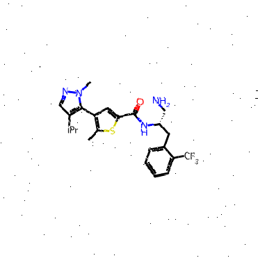 Cc1sc(C(=O)N[C@H](CN)Cc2ccccc2C(F)(F)F)cc1-c1c(C(C)C)cnn1C